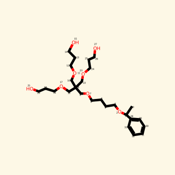 CC(OCCCCOCC(COCCCO)(COCCCO)COCCCO)c1ccccc1